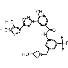 Cc1ccc(C(=O)Nc2cc(CN3CC(O)C3)cc(C(F)(F)F)c2)cc1-n1cc(-c2cnn(C)c2C)nn1